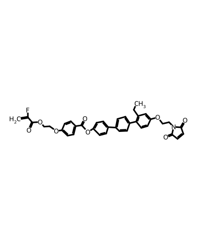 C=C(F)C(=O)OCCOc1ccc(C(=O)Oc2ccc(-c3ccc(-c4ccc(OCCN5C(=O)C=CC5=O)cc4CC)cc3)cc2)cc1